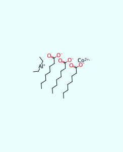 CCCCCCCC(=O)[O-].CCCCCCCC(=O)[O-].CCCCCCCC(=O)[O-].C[CH2][Al+][CH2]C.[Co+2]